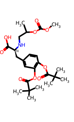 COC(=O)OC(C)CN[C@@H](Cc1ccc(OC(=O)C(C)(C)C)c(OC(=O)C(C)(C)C)c1)C(=O)O